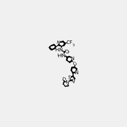 O=C(Nc1ccc(Oc2ccc(-c3cnc(N4CCCC4=O)s3)nc2)nc1)Nc1cc(C(F)(F)F)cnc1-c1ccccc1